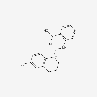 CCc1ccc2c(c1)CCC[C@H]2CNc1cnccc1C(O)O